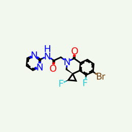 O=C(CN1C[C@]2(C[C@H]2F)c2c(ccc(Br)c2F)C1=O)Nc1ncccn1